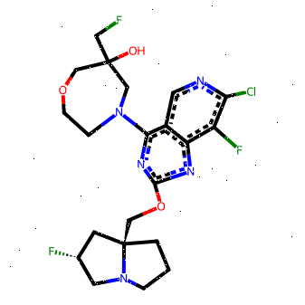 OC1(CF)COCCN(c2nc(OC[C@@]34CCCN3C[C@H](F)C4)nc3c(F)c(Cl)ncc23)C1